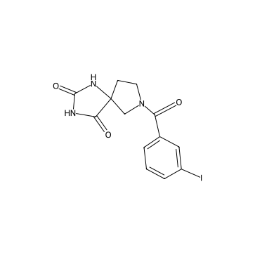 O=C1NC(=O)C2(CCN(C(=O)c3cccc(I)c3)C2)N1